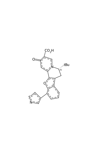 CC(C)(C)[C@@H]1Cc2c(oc3c(-c4cnsc4)cccc23)-c2cc(=O)c(C(=O)O)cn21